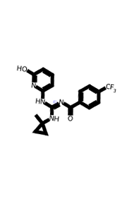 CC1(N/C(=N\C(=O)c2ccc(C(F)(F)F)cc2)Nc2cccc(O)n2)CC1